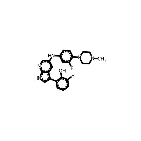 CN1CCN(c2ccc(Nc3cnc4[nH]cc(-c5cccc(F)c5O)c4c3)cc2F)CC1